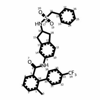 Cc1cccc(C(=O)Nc2ccc3c(c2)CC(NS(=O)(=O)Cc2ccccc2)C3)c1-c1ccc(C(F)(F)F)cc1